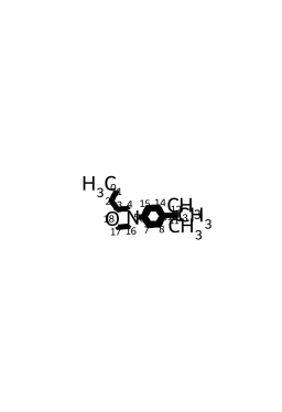 CCCC1CN(c2ccc(C(C)(C)C)cc2)CCO1